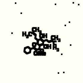 COc1c(C2CCCCC2)oc2c(CC=C(C)C)c(O)c(CC=C(C)C)c(O)c2c1=O